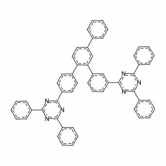 c1ccc(-c2ccc(-c3ccc(-c4nc(-c5ccccc5)nc(-c5ccccc5)n4)cc3)c(-c3cccc(-c4nc(-c5ccccc5)nc(-c5ccccc5)n4)c3)c2)cc1